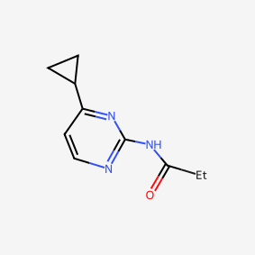 CCC(=O)Nc1nccc(C2CC2)n1